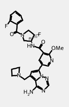 COc1ncc(-c2cc(CN3CCC3)c3c(N)ncnn23)cc1C(=O)N[C@@H]1CN(C(=O)c2ccccc2F)C[C@@H]1F